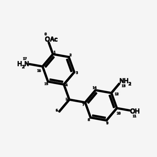 CC(=O)Oc1ccc(C(C)c2ccc(O)c(N)c2)cc1N